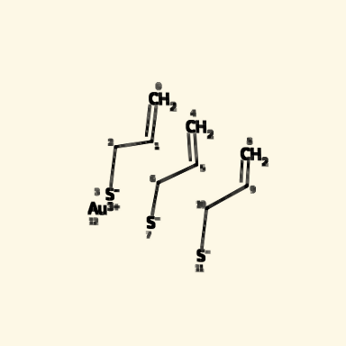 C=CC[S-].C=CC[S-].C=CC[S-].[Au+3]